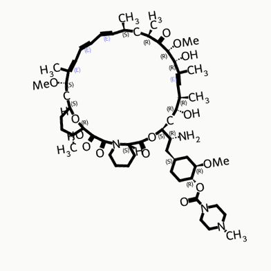 CO[C@H]1C[C@@H]2CC[C@@H](C)[C@@](O)(O2)C(=O)C(=O)N2CCCC[C@H]2C(=O)O[C@H]([C@H](N)C[C@@H]2CC[C@@H](OC(=O)N3CCN(C)CC3)[C@H](OC)C2)C[C@@H](O)[C@H](C)/C=C(\C)[C@@H](O)[C@@H](OC)C(=O)[C@H](C)C[C@H](C)/C=C/C=C/C=C/1C